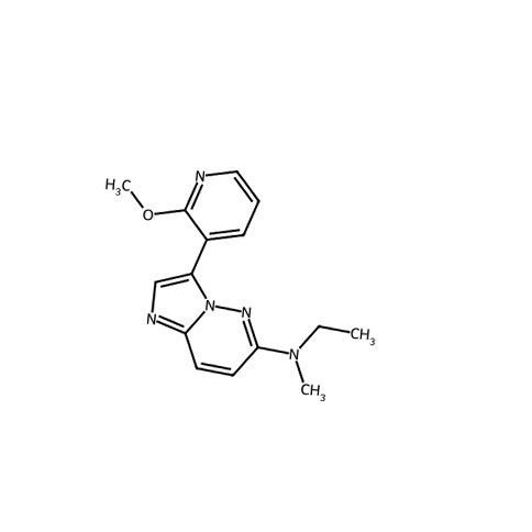 CCN(C)c1ccc2ncc(-c3cccnc3OC)n2n1